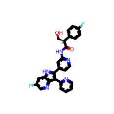 O=C(Nc1cc(-c2[nH]c3cc(F)cnc3c2-c2ccccn2)ccn1)[C@@H](CO)c1ccc(F)cc1